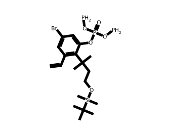 C=Cc1cc(Br)cc(OP(=O)(OP)OP)c1C(C)(C)CCO[Si](C)(C)C(C)(C)C